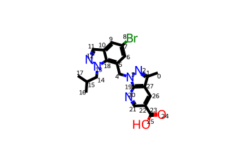 Cc1nn(Cc2cc(Br)cc3cnn(CC(C)C)c23)c2ncc(C(=O)O)cc12